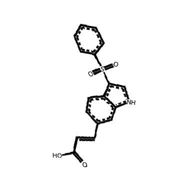 O=C(O)C=Cc1ccc2c(S(=O)(=O)c3ccccc3)c[nH]c2c1